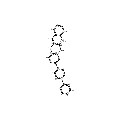 c1ccc(-c2ccc(-c3ccc4c(c3)Sc3nc5ccccc5nc3S4)cc2)cc1